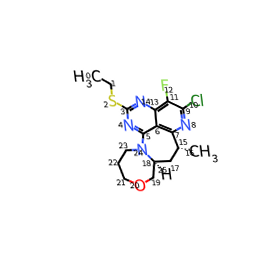 CCSc1nc2c3c(nc(Cl)c(F)c3n1)[C@H](C)C[C@H]1COCCCN21